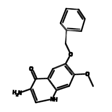 COc1cc2[nH]cc(N)c(=O)c2cc1OCc1ccccc1